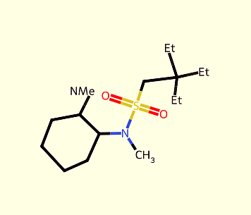 CCC(CC)(CC)CS(=O)(=O)N(C)C1CCCCC1NC